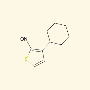 O=Nc1sccc1C1CCCCC1